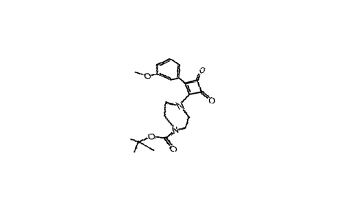 COc1cccc(-c2c(N3CCN(C(=O)OC(C)(C)C)CC3)c(=O)c2=O)c1